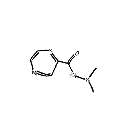 CN(C)NC(=O)c1cnccn1